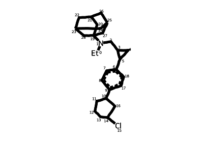 CCN(CC1CC1c1ccc(C2CCCC(Cl)C2)cc1)C12CC3CC(CC(C3)C1)C2